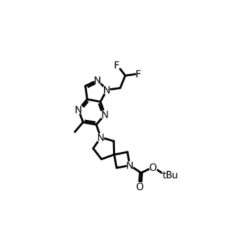 Cc1nc2cnn(CC(F)F)c2nc1N1CCC2(CN(C(=O)OC(C)(C)C)C2)C1